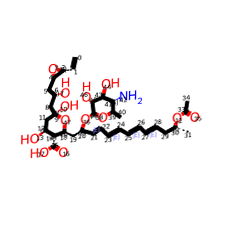 C=C[C@H]1OC1C[C@H](O)C[C@]1(O)C[C@H](O)[C@@H](C(=O)O)[C@H](C[C@H](/C=C/C=C/C=C/C=C/C[C@@H](C)OC(C)=O)O[C@@H]2OC(C)[C@@H](N)C(O)C2O)O1